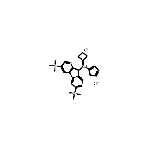 C[Si](C)(C)c1ccc2c(c1)-c1cc([Si](C)(C)C)ccc1[CH]2[Zr+2]([C]1=CC=CC1)=[C]1CCC1.[Cl-].[Cl-]